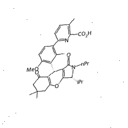 CCCN1C(=O)C2=C(OC3=C(C(=O)CC(C)(C)C3)[C@@H]2c2c(OC)ccc(-c3ccc(C)c(C(=O)O)n3)c2C)[C@H]1C(C)C